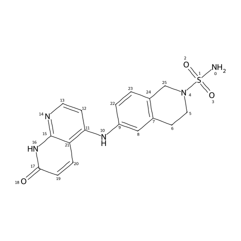 NS(=O)(=O)N1CCc2cc(Nc3ccnc4[nH]c(=O)ccc34)ccc2C1